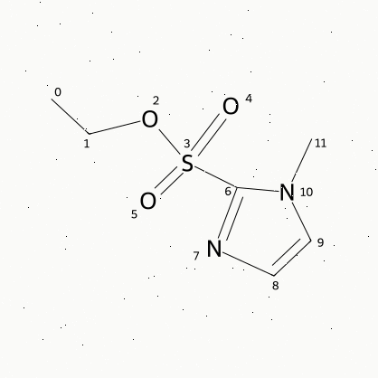 CCOS(=O)(=O)c1nccn1C